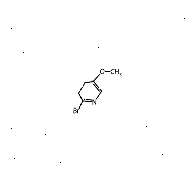 COC1=CN=C(Br)CC1